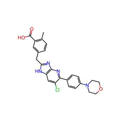 Cc1ccc(Cc2nc3nc(-c4ccc(N5CCOCC5)cc4)c(Cl)cc3[nH]2)cc1C(=O)O